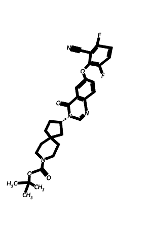 CC(C)(C)OC(=O)N1CCC2(CC[C@H](n3cnc4ccc(Oc5c(F)ccc(F)c5C#N)cc4c3=O)C2)CC1